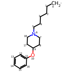 [CH2]CCCCCN1CCC(Oc2ccccc2)CC1